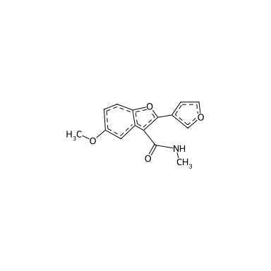 CNC(=O)c1c(-c2ccoc2)oc2ccc(OC)cc12